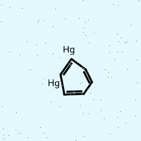 [Hg].[Hg].c1ccccc1